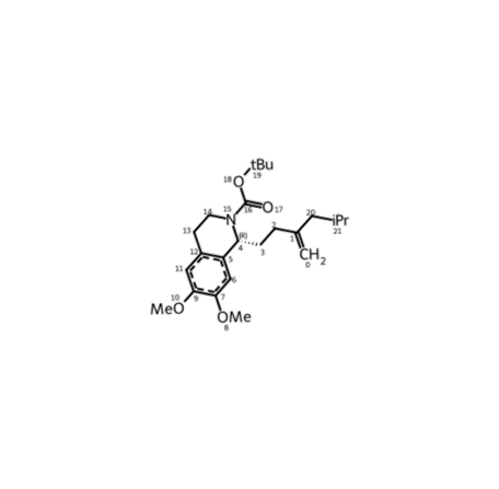 C=C(CC[C@@H]1c2cc(OC)c(OC)cc2CCN1C(=O)OC(C)(C)C)CC(C)C